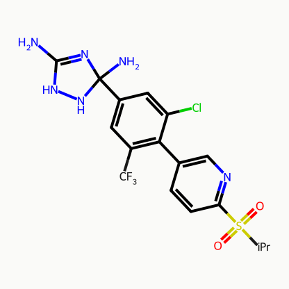 CC(C)S(=O)(=O)c1ccc(-c2c(Cl)cc(C3(N)N=C(N)NN3)cc2C(F)(F)F)cn1